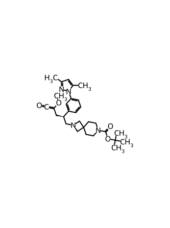 COC(=C=O)C[C@H](CN1CC2(CCN(C(=O)OC(C)(C)C)CC2)C1)c1cccc(-n2nc(C)cc2C)c1